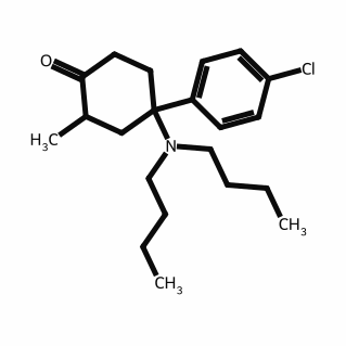 CCCCN(CCCC)C1(c2ccc(Cl)cc2)CCC(=O)C(C)C1